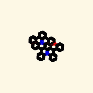 c1ccc(-c2cccc(-c3ccccc3)c2N2c3ccccc3B3c4ccccc4N4c5ccccc5B5c6ccccc6Oc6cc2c3c4c65)cc1